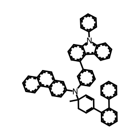 CC1(N(c2cccc(-c3cccc4c3c3ccccc3n4-c3ccccc3)c2)c2ccc3c(ccc4ccccc43)c2)C=CC(c2ccccc2-c2ccccc2)=CC1